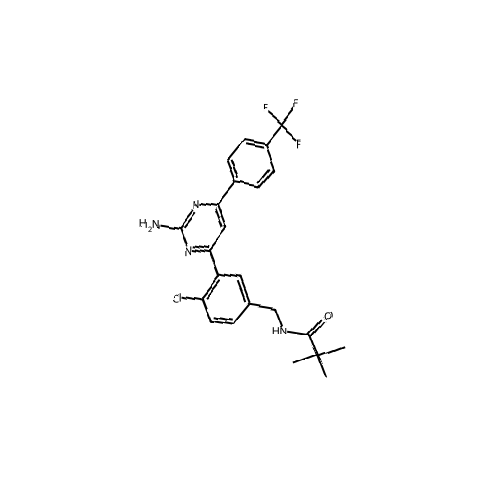 CC(C)(C)C(=O)NCc1ccc(Cl)c(-c2cc(-c3ccc(C(F)(F)F)cc3)nc(N)n2)c1